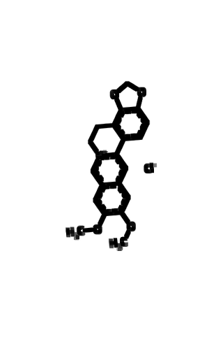 COc1cc2cc3[n+](cc2cc1OC)CCc1c-3ccc2c1OCO2.[Cl-]